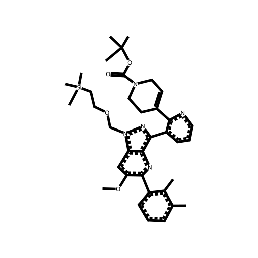 COc1cc2c(nc1-c1cccc(C)c1C)c(-c1cccnc1C1=CCN(C(=O)OC(C)(C)C)CC1)nn2COCC[Si](C)(C)C